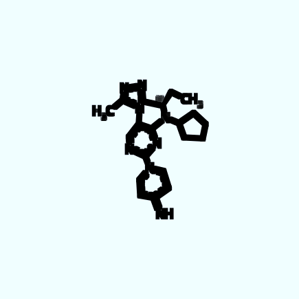 CC[C@@H]1c2nnc(C)n2-c2cnc(-n3ccc(=N)cc3)nc2N1C1CCCC1